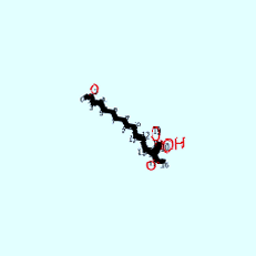 CC(=O)CCCCCCCCCCCC(C(C)=O)C(=O)O